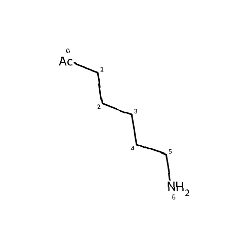 CC(=O)CCCCCN